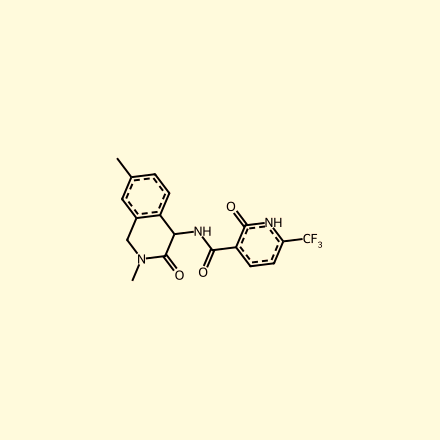 Cc1ccc2c(c1)CN(C)C(=O)C2NC(=O)c1ccc(C(F)(F)F)[nH]c1=O